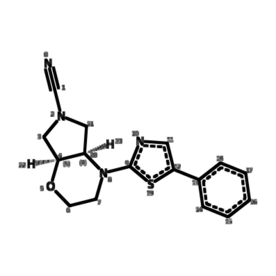 N#CN1C[C@@H]2OCCN(c3ncc(-c4ccccc4)s3)[C@@H]2C1